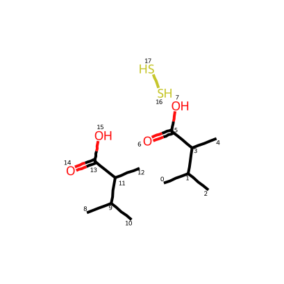 CC(C)C(C)C(=O)O.CC(C)C(C)C(=O)O.SS